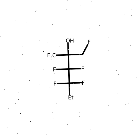 CCC(F)(F)C(F)(F)C(O)(CF)C(F)(F)F